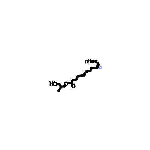 CCCCCC/C=C\CCCCCCCC(=O)OCC(C)CO